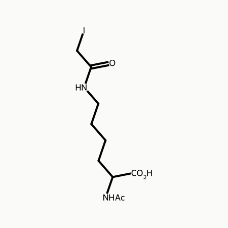 CC(=O)NC(CCCCNC(=O)CI)C(=O)O